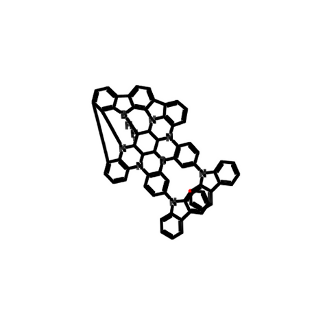 c1ccc2c(c1)c1ccccc1n2-c1ccc2c(c1)B1c3cc(-n4c5ccccc5c5ccccc54)ccc3N3c4cccc5c6ccc7c8c6n(c45)[C@@H]4C3C1C1C3[C@@H]4B8c4c-7ccc5c6cccc(c6n3c45)N21